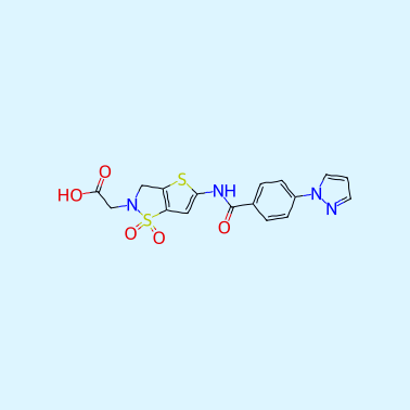 O=C(O)CN1Cc2sc(NC(=O)c3ccc(-n4cccn4)cc3)cc2S1(=O)=O